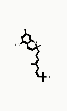 C/C(=C\CC[C@]1(C)C=Cc2c(O)cc(C)cc2O1)C/C=C\C(C)(C)O